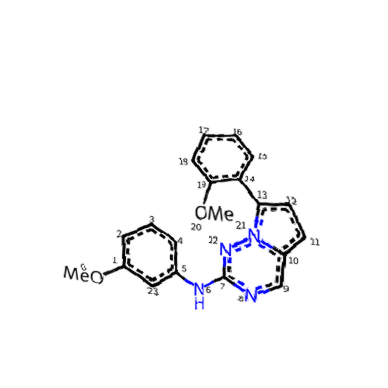 COc1cccc(Nc2ncc3ccc(-c4ccccc4OC)n3n2)c1